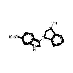 COc1ccc2c([C@@H]3C[C@H](O)c4ccccc43)c[nH]c2c1